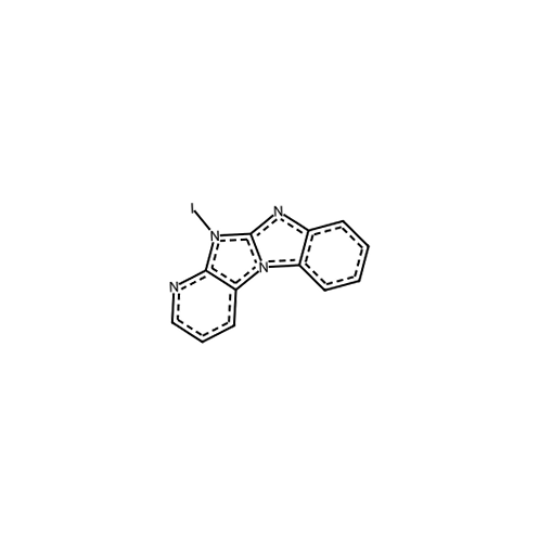 In1c2ncccc2n2c3ccccc3nc12